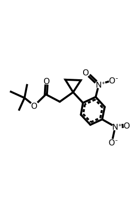 CC(C)(C)OC(=O)CC1(c2ccc([N+](=O)[O-])cc2[N+](=O)[O-])CC1